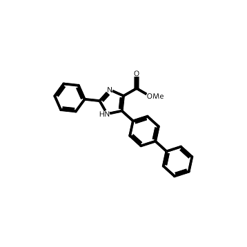 COC(=O)c1nc(-c2ccccc2)[nH]c1-c1ccc(-c2ccccc2)cc1